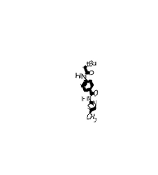 Cc1cnc(NC(=O)c2ccc(NC(=O)CC(C)(C)C)cc2)s1